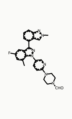 Cc1cc(F)cc2c(-c3cccc4nn(C)cc34)nn(-c3ccc(N4CCN(C=O)CC4)nc3)c12